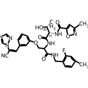 Cc1ccc(CNC(=O)C(COc2cccc(C=C(C#N)n3cncn3)c2)NC(=O)[C@@H](NC(=O)c2cc(C)no2)[C@@H](C)O)c(F)c1